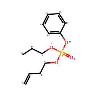 C=CCCOP(=O)(OCCC)Oc1ccccc1